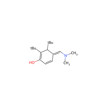 CN(C)C=C1C=CC(O)=C(C(C)(C)C)C1C(C)(C)C